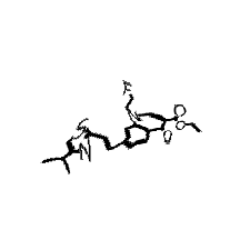 CCOC(=O)c1cn(CCF)c2cc(C=Cc3nc(C(C)C)cs3)ccc2c1=O